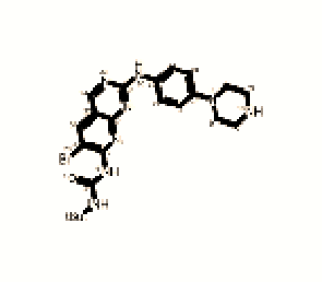 CC(C)(C)NC(=O)Nc1nc2nc(Nc3ccc(N4CCNCC4)cc3)ncc2cc1Br